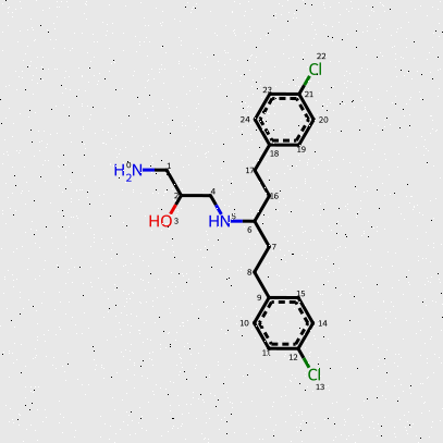 NCC(O)CNC(CCc1ccc(Cl)cc1)CCc1ccc(Cl)cc1